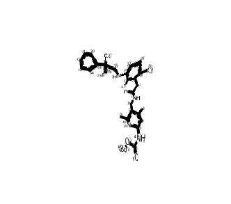 Cc1cc(NC(=O)OC(C)(C)C)nc(C)c1CNC(=O)Cc1c(Cl)ccc(NCC(F)(F)c2ccccc2)c1F